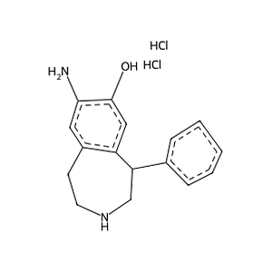 Cl.Cl.Nc1cc2c(cc1O)C(c1ccccc1)CNCC2